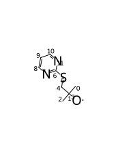 CC(C)([O])CSc1ncccn1